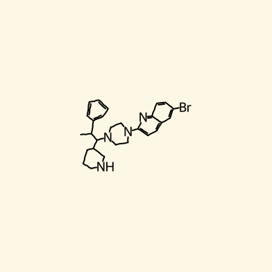 CC(c1ccccc1)C(C1CCCNC1)N1CCN(c2ccc3cc(Br)ccc3n2)CC1